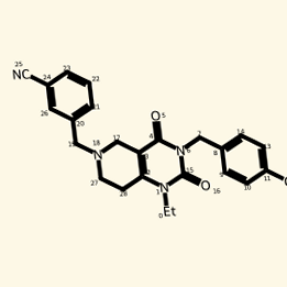 CCn1c2c(c(=O)n(Cc3ccc(Cl)cc3)c1=O)CN(Cc1cccc(C#N)c1)CC2